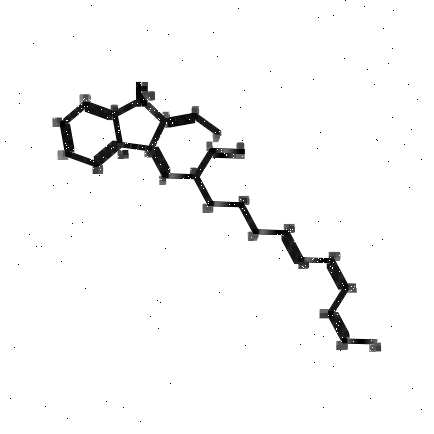 C=CC(/C=c1\c(=C/C)[nH]c2ccccc12)CCC/C=C/C=C\C=C/C